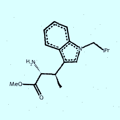 COC(=O)[C@H](N)[C@H](C)c1cn(CC(C)C)c2ccccc12